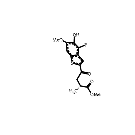 COC(=O)[C@H](C)CC(=O)c1cc2c(F)c(O)c(OC)cc2s1